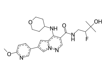 COc1ccc(-c2cc3c(NC4CCOCC4)c(C(=O)NCC(F)C(C)(C)O)cnn3c2)cn1